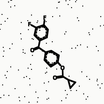 O=C(c1ccc(OC(=O)C2CC2)cc1)c1ccc(F)c(F)c1